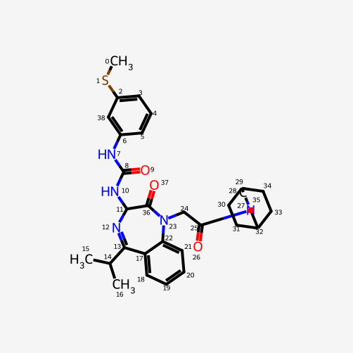 CSc1cccc(NC(=O)NC2N=C(C(C)C)c3ccccc3N(CC(=O)N3CC4CCC(CC4)C3)C2=O)c1